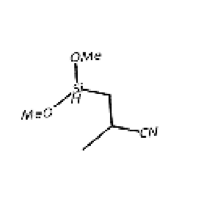 CO[SiH](CC(C)C#N)OC